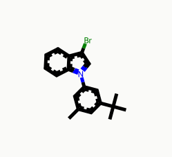 Cc1cc(-n2cc(Br)c3ccccc32)cc(C(C)(C)C)c1